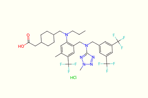 CCCN(CC1CCC(CC(=O)O)CC1)c1cc(C)c(C(F)(F)F)cc1CN(Cc1cc(C(F)(F)F)cc(C(F)(F)F)c1)c1nnn(C)n1.Cl